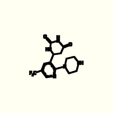 O=C1CC(c2cc(C(F)(F)F)cnc2N2CCNCC2)NC(=O)N1